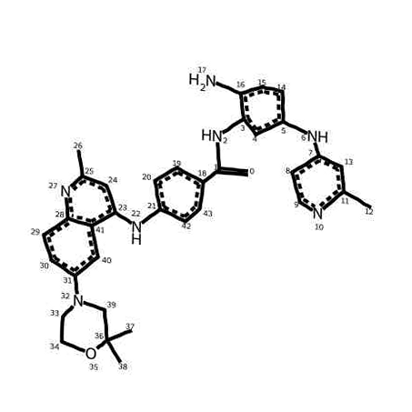 C=C(Nc1cc(Nc2ccnc(C)c2)ccc1N)c1ccc(Nc2cc(C)nc3ccc(N4CCOC(C)(C)C4)cc23)cc1